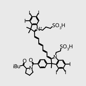 CCC(C)C(=O)C1CCCN1C(=O)c1ccc(C2(C)/C(=C/C=C/C=C/C=C/C3=[N+](CCCS(=O)(=O)O)c4cc(I)c(I)c(I)c4C3(C)C)N(CCS(=O)(=O)O)c3cc(I)c(I)c(I)c32)cc1